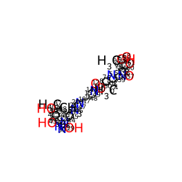 CCc1c2c(nc3ccc(OC(=O)N4CCC(CCN5CCN(c6ccc(-n7c(O)nnc7-c7cc(C(C)C)c(O)cc7O)cc6)CC5)CC4)cc13)-c1cc3c(c(=O)n1C2)COC(=O)C3(O)CC